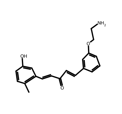 Cc1ccc(O)cc1/C=C/C(=O)/C=C/c1cccc(OCCN)c1